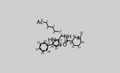 CC(=O)CCCCC[C@H](NC(=O)C1CCCN(C)C1)c1ncc(-c2ccccc2)[nH]1